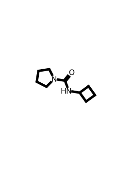 O=C(NC1CCC1)N1CCCC1